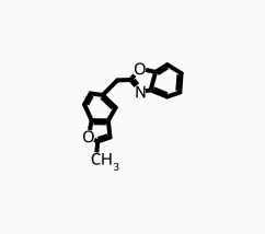 Cc1cc2cc(Cc3nc4ccccc4o3)ccc2o1